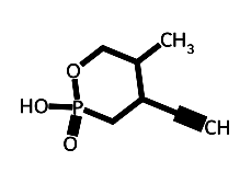 C#CC1CP(=O)(O)OCC1C